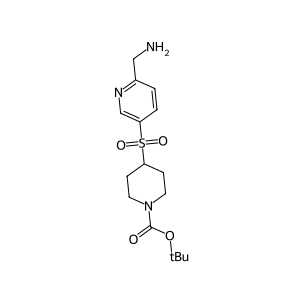 CC(C)(C)OC(=O)N1CCC(S(=O)(=O)c2ccc(CN)nc2)CC1